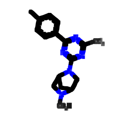 Cc1ccc(-c2nc(N3CC4CC3CN4C(=O)O)nc(C(Cl)(Cl)Cl)n2)cc1